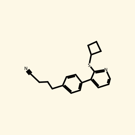 N#CCCCc1ccc(-c2cccnc2SC2CCC2)cc1